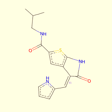 CC(C)CNC(=O)c1cc2c(s1)NC(=O)/C2=C/c1ccc[nH]1